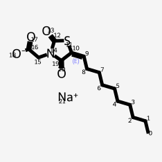 CCCCCCCCC/C=C1/SC(=O)N(CC(=O)[O-])C1=O.[Na+]